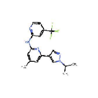 Cc1cc(Nc2cc(C(F)(F)F)ccn2)nc(-c2cnn(C(C)C)c2)c1